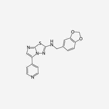 c1cc(-c2cnc3sc(NCc4ccc5c(c4)OCO5)nn23)ccn1